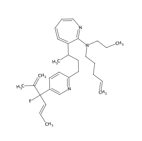 C=CCCCN(CCC)C1=NC=CC=C=C1C(C)CCc1ccc(C(F)(/C=C/C)C(=C)C)cn1